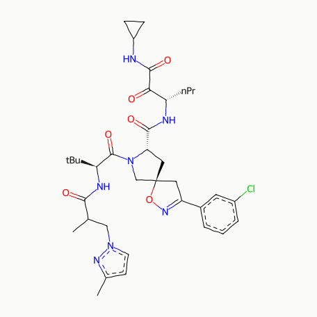 CCC[C@H](NC(=O)[C@@H]1C[C@]2(CC(c3cccc(Cl)c3)=NO2)CN1C(=O)[C@@H](NC(=O)C(C)Cn1ccc(C)n1)C(C)(C)C)C(=O)C(=O)NC1CC1